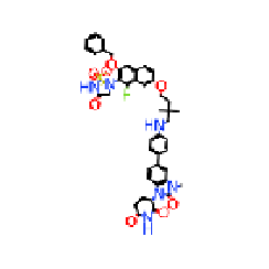 Cn1c(=O)n(C2CCC(=O)NC2=O)c2ccc(-c3ccc(NCC(C)(C)CCOc4ccc5cc(OCc6ccccc6)c(N6CC(=O)NS6(=O)=O)c(F)c5c4)cc3)cc21